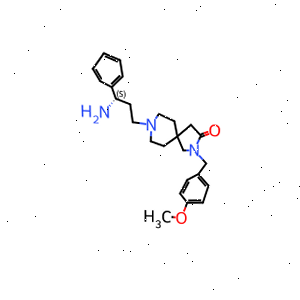 COc1ccc(CN2CC3(CCN(CC[C@H](N)c4ccccc4)CC3)CC2=O)cc1